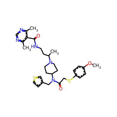 COc1ccc(SCC(=O)N(Cc2ccsc2)C2CCN(C(C)CCNC(=O)c3c(C)ncnc3C)CC2)cc1